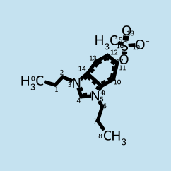 CCCn1c[n+](CCC)c2ccccc21.CS(=O)(=O)[O-]